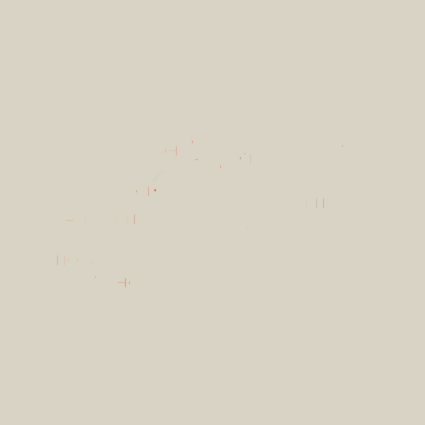 CCCCCCCCCCCCCCCCCC(=O)O.CCCCCCCCCCCCO.CCOC(=O)c1ccccc1O.OCC(O)CO